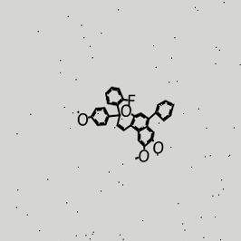 COc1ccc(C2(c3ccccc3F)C=Cc3c(cc(-c4ccccc4)c4cc(OC)c(OC)cc34)O2)cc1